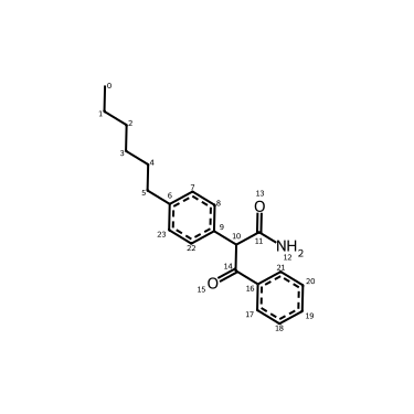 CCCCCCc1ccc(C(C(N)=O)C(=O)c2ccccc2)cc1